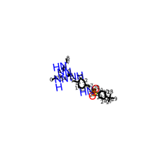 CCNc1nc(NCC)nc(NCC2CCC(CNS(=O)(=O)c3ccc(C(C)(C)C)cc3)CC2)n1